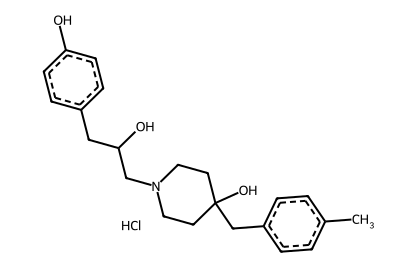 Cc1ccc(CC2(O)CCN(CC(O)Cc3ccc(O)cc3)CC2)cc1.Cl